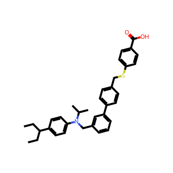 CCC(CC)c1ccc(N(Cc2cccc(-c3ccc(CSc4ccc(C(=O)O)cc4)cc3)c2)C(C)C)cc1